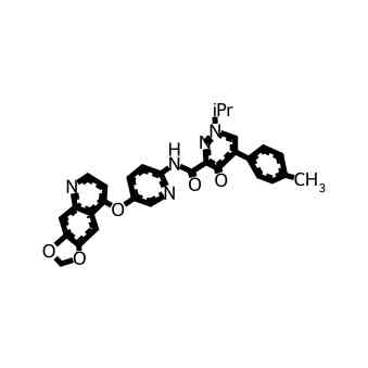 Cc1ccc(-c2cn(C(C)C)nc(C(=O)Nc3ccc(Oc4ccnc5cc6c(cc45)OCO6)cn3)c2=O)cc1